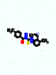 CC/C=C\c1c(C)cccc1NC(=S)NC(=O)c1ccc(C)cc1